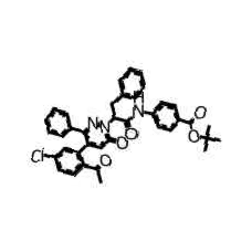 CC(=O)c1ccc(Cl)cc1-c1cc(=O)n(C(Cc2ccccc2)C(=O)Nc2ccc(C(=O)OC(C)(C)C)cc2)nc1-c1ccccc1